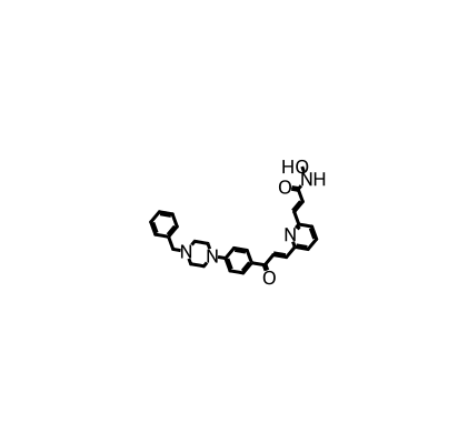 O=C(C=Cc1cccc(C=CC(=O)c2ccc(N3CCN(Cc4ccccc4)CC3)cc2)n1)NO